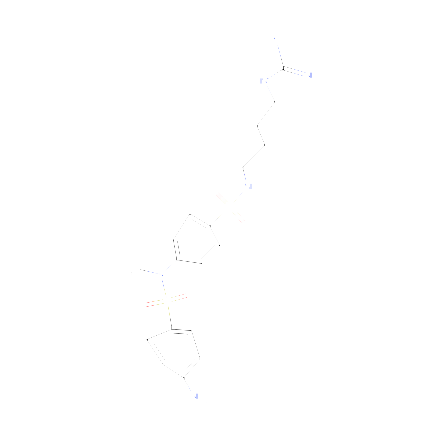 CN(c1ccc(S(=O)(=O)NCCCCNC(=N)N)cc1)S(=O)(=O)c1ccc(N)cc1